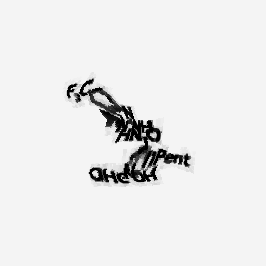 CCCCC[C@H](CN(O)C=O)C(=O)NNc1nnc2cc(C(F)(F)F)ccc2n1